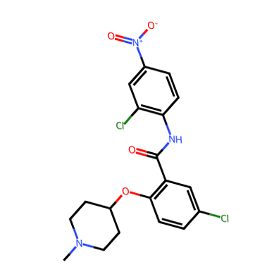 CN1CCC(Oc2ccc(Cl)cc2C(=O)Nc2ccc([N+](=O)[O-])cc2Cl)CC1